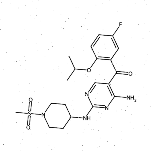 CC(C)Oc1ccc(F)cc1C(=O)c1cnc(NC2CCN(S(C)(=O)=O)CC2)nc1N